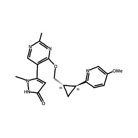 COc1ccc([C@H]2C[C@@H]2COc2nc(C)ncc2-c2cc(=O)[nH]n2C)nc1